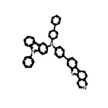 c1ccc(-c2ccc(N(c3ccc(-c4ccc5c(c4)sc4c6ccncc6ccc54)cc3)c3ccc4c(c3)c3ccccc3n4-c3ccccc3)cc2)cc1